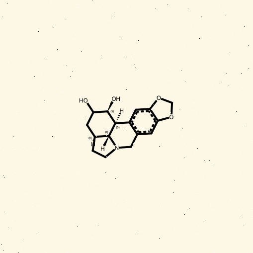 OC1C[C@H]2CCN3Cc4cc5c(cc4[C@@H]([C@@H]23)[C@@H]1O)OCO5